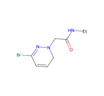 CCNC(=O)CN1CC=CC(Br)=N1